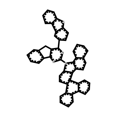 c1ccc2c(c1)Cc1c(-c3ccc4sc5ccccc5c4c3)nc(-n3c4ccc5c6ccccc6c6ccccc6c5c4c4ccc5ccccc5c43)nc1-2